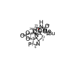 COc1ccc2ncc(F)c(C3OC(=O)OC3C34CCC(NC(=O)OC(C)(C)C)(CC3)CO4)c2n1